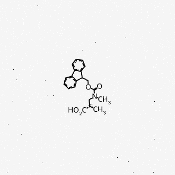 C[C@H](CN(C)C(=O)OCC1c2ccccc2-c2ccccc21)C(=O)O